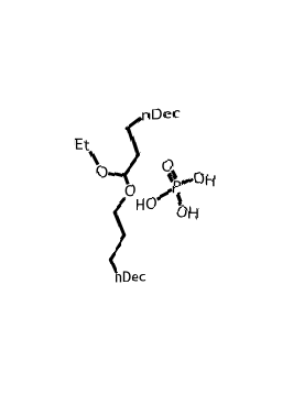 CCCCCCCCCCCCCOC(CCCCCCCCCCCC)OCC.O=P(O)(O)O